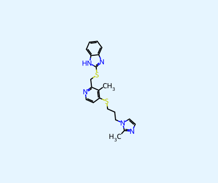 Cc1c(SCCCn2ccnc2C)ccnc1CSc1nc2ccccc2[nH]1